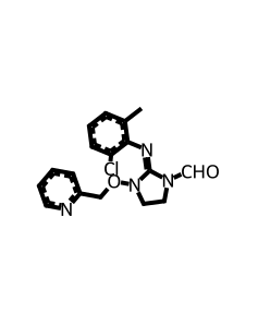 Cc1cccc(Cl)c1/N=C1/N(C=O)CCN1OCc1ccccn1